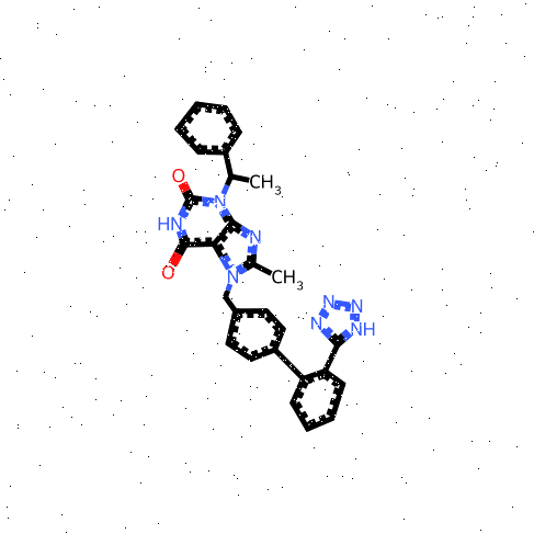 Cc1nc2c(c(=O)[nH]c(=O)n2C(C)c2ccccc2)n1Cc1ccc(-c2ccccc2-c2nnn[nH]2)cc1